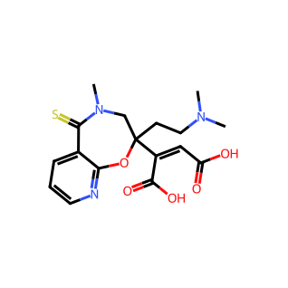 CN(C)CCC1(/C(=C/C(=O)O)C(=O)O)CN(C)C(=S)c2cccnc2O1